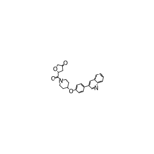 O=C1COC(C(=O)N2CCC(Oc3ccc(-c4cnc5ccccc5c4)cc3)CC2)C1